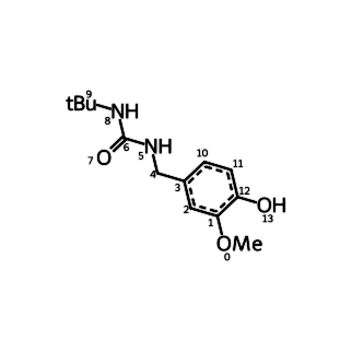 COc1cc(CNC(=O)NC(C)(C)C)ccc1O